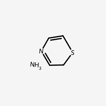 C1=CSCC=N1.N